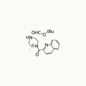 CC(C)(C)OC=O.C[C@@H]1CNCCN1C(=O)c1ccc2ccccc2n1